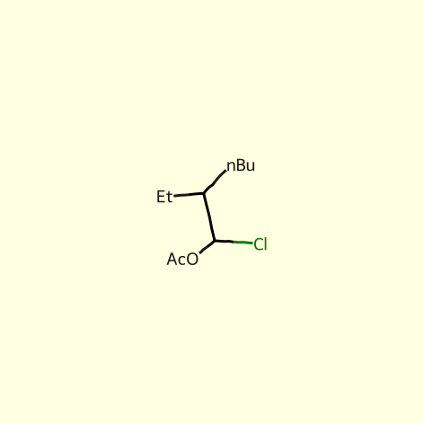 CCCCC(CC)C(Cl)OC(C)=O